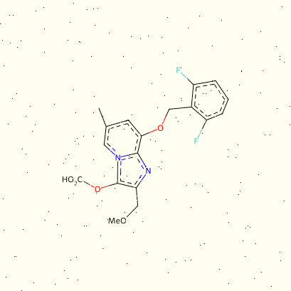 COCc1nc2c(OCc3c(F)cccc3F)cc(C)cn2c1OC(=O)O